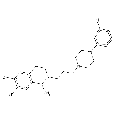 CC1c2cc(Cl)c(Cl)cc2CCN1CCCN1CCN(c2cccc(Cl)c2)CC1